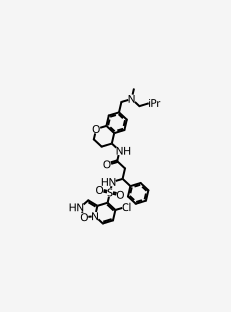 CC(C)CN(C)Cc1ccc2c(c1)OCCC2NC(=O)CC(NS(=O)(=O)C1=C(Cl)C=CN2ONC=C12)c1ccccc1